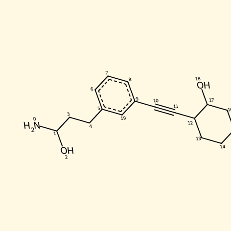 NC(O)CCc1cccc(C#CC2CCCCC2O)c1